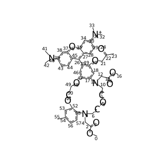 COC(=O)CN1CCOCCN(CC(=O)OC)c2cc(OCC(C)=O)c(-c3c4ccc(=[N+](C)C)cc-4oc4cc(N(C)C)ccc34)cc2OCCOc2cc(C)ccc21